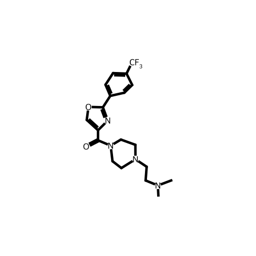 CN(C)CCN1CCN(C(=O)c2coc(-c3ccc(C(F)(F)F)cc3)n2)CC1